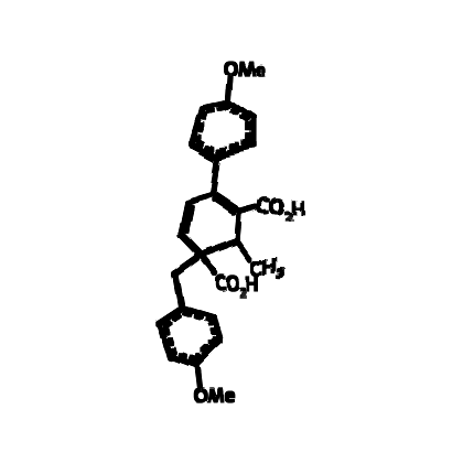 COc1ccc(CC2(C(=O)O)C=CC(c3ccc(OC)cc3)=C(C(=O)O)C2C)cc1